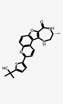 C[C@@H]1CNc2c(oc3ccc4nc(-c5ccc(C(C)(C)C#N)s5)ccc4c23)C(=O)N1